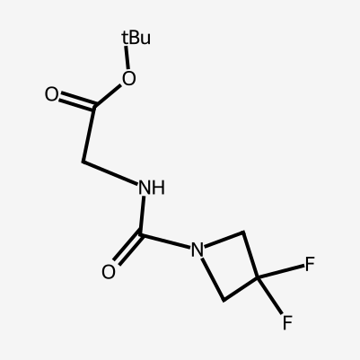 CC(C)(C)OC(=O)CNC(=O)N1CC(F)(F)C1